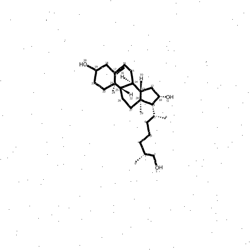 C[C@@H](CO)CCC[C@@H](C)[C@H]1[C@@H](O)C[C@H]2[C@@H]3CC=C4CC(O)CC[C@]4(C)[C@H]3CC[C@]12C